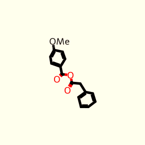 COc1ccc(C(=O)OC(=O)Cc2ccccc2)cc1